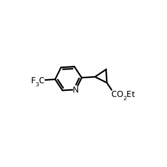 CCOC(=O)C1CC1c1ccc(C(F)(F)F)cn1